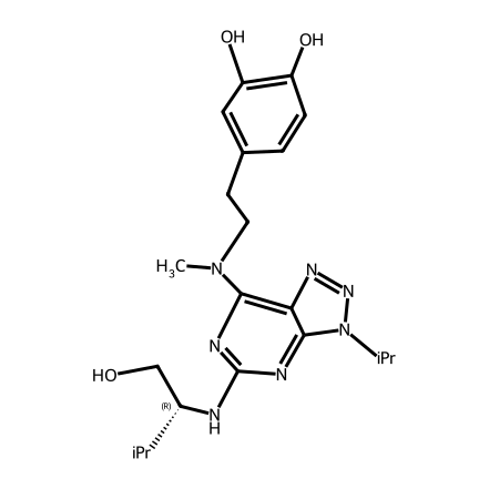 CC(C)[C@H](CO)Nc1nc(N(C)CCc2ccc(O)c(O)c2)c2nnn(C(C)C)c2n1